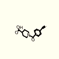 [C]#Cc1ccc(C(=O)N2CCC(C(=O)O)CC2)cc1